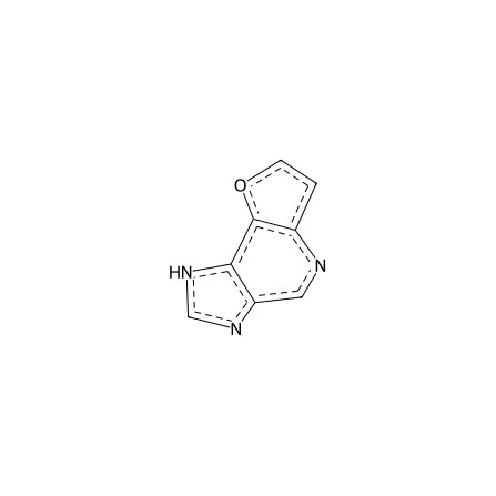 c1nc2cnc3ccoc3c2[nH]1